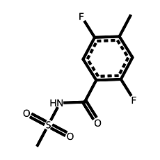 Cc1cc(F)c(C(=O)NS(C)(=O)=O)cc1F